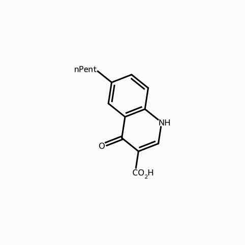 CCCCCc1ccc2[nH]cc(C(=O)O)c(=O)c2c1